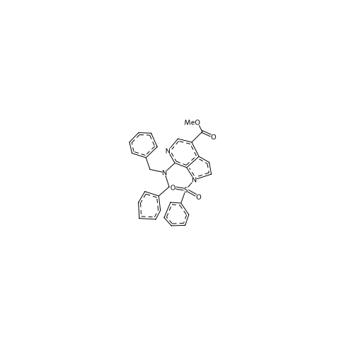 COC(=O)c1cnc(N(Cc2ccccc2)Cc2ccccc2)c2c1ccn2S(=O)(=O)c1ccccc1